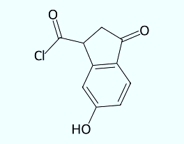 O=C1CC(C(=O)Cl)c2cc(O)ccc21